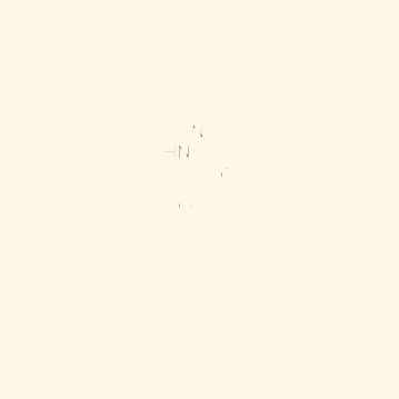 CC#COC(=O)NN